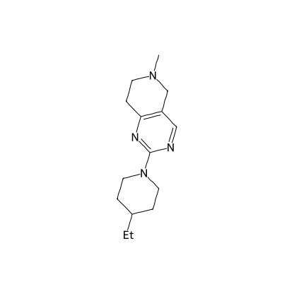 CCC1CCN(c2ncc3c(n2)CCN(C)C3)CC1